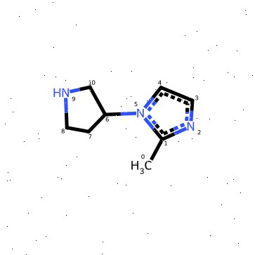 Cc1nccn1C1CCNC1